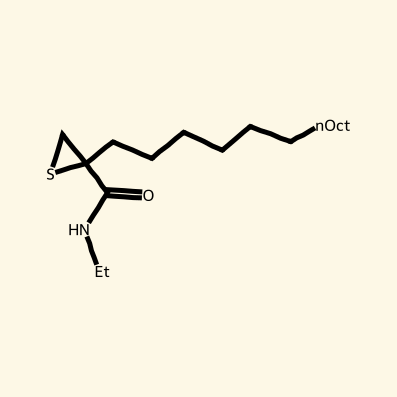 CCCCCCCCCCCCCCC1(C(=O)NCC)CS1